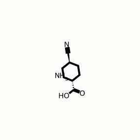 N.N#C[C@H]1CC[C@H](C(=O)O)CC1